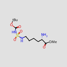 COC(=O)[C@@H](N)CCCCNS(=O)(=O)NC(=O)OC(C)(C)C